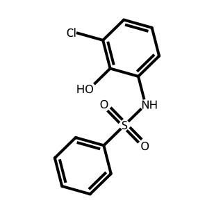 O=S(=O)(Nc1cccc(Cl)c1O)c1ccccc1